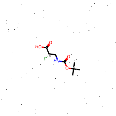 CC(C)(C)OC(=O)NC[C@H](F)C(=O)O